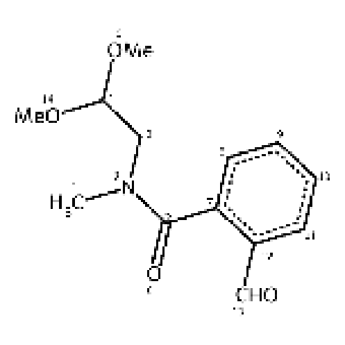 COC(CN(C)C(=O)c1ccccc1C=O)OC